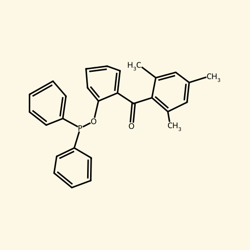 Cc1cc(C)c(C(=O)c2ccccc2OP(c2ccccc2)c2ccccc2)c(C)c1